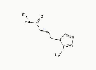 Cc1nncn1C/C=C/C(=O)NC(C)C